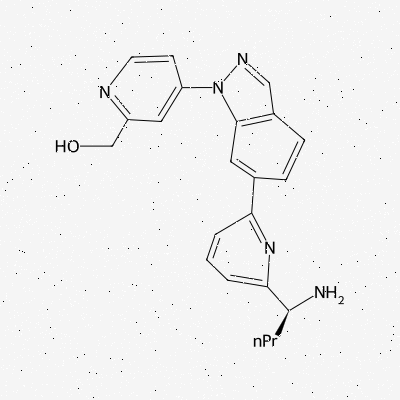 CCC[C@H](N)c1cccc(-c2ccc3cnn(-c4ccnc(CO)c4)c3c2)n1